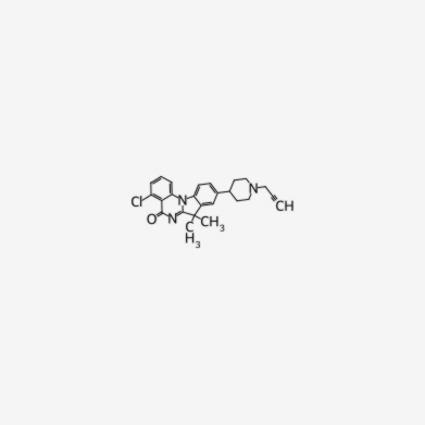 C#CCN1CCC(c2ccc3c(c2)C(C)(C)c2nc(=O)c4c(Cl)cccc4n2-3)CC1